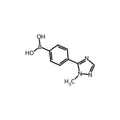 Cn1ncnc1-c1ccc(B(O)O)cc1